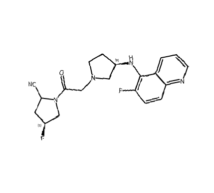 N#CC1C[C@H](F)CN1C(=O)CN1CC[C@@H](Nc2c(F)ccc3ncccc23)C1